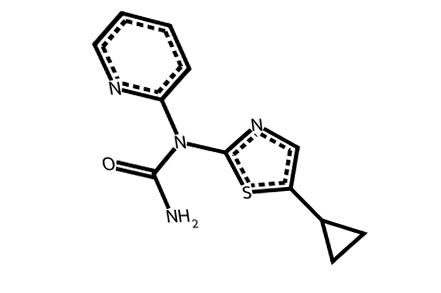 NC(=O)N(c1ccccn1)c1ncc(C2CC2)s1